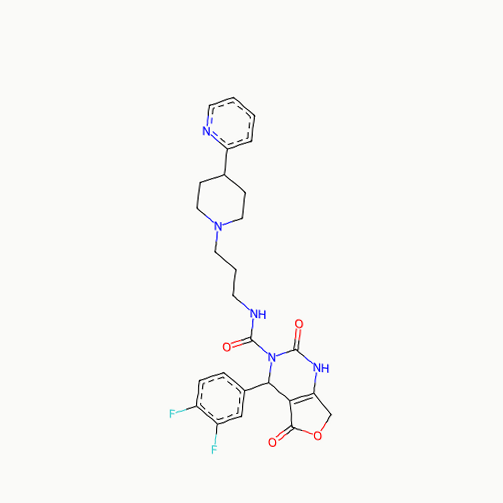 O=C1OCC2=C1C(c1ccc(F)c(F)c1)N(C(=O)NCCCN1CCC(c3ccccn3)CC1)C(=O)N2